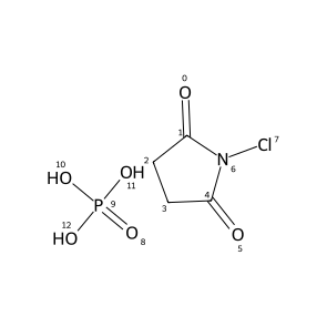 O=C1CCC(=O)N1Cl.O=P(O)(O)O